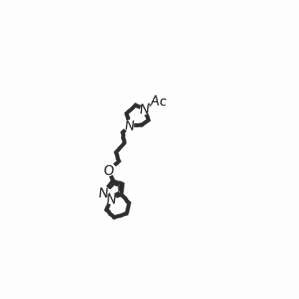 CC(=O)N1CCN(CCCCOc2cc3n(n2)CCCC3)CC1